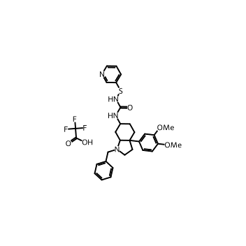 COc1ccc(C23CCC(NC(=O)NSc4cccnc4)CC2N(Cc2ccccc2)CC3)cc1OC.O=C(O)C(F)(F)F